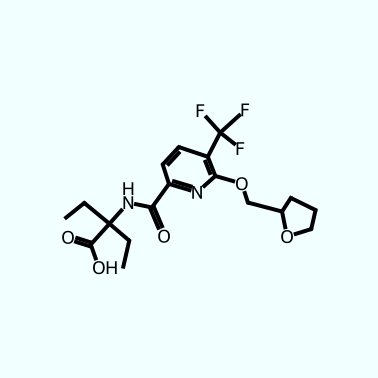 CCC(CC)(NC(=O)c1ccc(C(F)(F)F)c(OCC2CCCO2)n1)C(=O)O